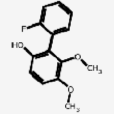 COc1ccc(O)c(-c2ccccc2F)c1OC